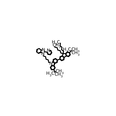 CCCCCCC1(CCCCCC)c2cc(-c3ccc4c(c3)c3cc(C(C)(C)C)ccc3n4CCCCCN3C4=CC=CCC4N=C3c3ccccn3)ccc2-c2ccc(C(C)(C)C)cc21